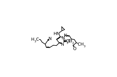 C=C1N=C(CC/C=C\C(C#N)CCC)C=C(NC2CC2)N1/N=C\C(C)CC(C)C=O